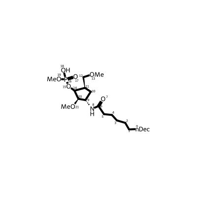 CCCCCCCCCCCCCCCC(=O)N[C@H]1C[C@H](COC)C(OP(=O)(O)OC)[C@@H]1OC